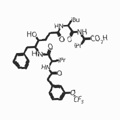 CCC(C)C(NC(=O)CCC(O)C(Cc1ccccc1)NC(=O)C(NC(=O)Cc1cccc(OC(F)(F)F)c1)C(C)C)C(=O)NC(C(=O)O)C(C)C